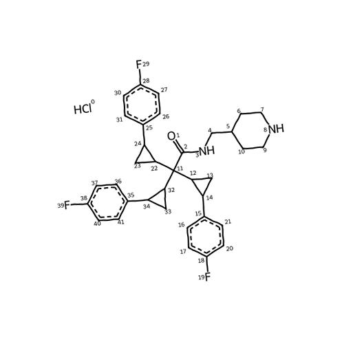 Cl.O=C(NCC1CCNCC1)C(C1CC1c1ccc(F)cc1)(C1CC1c1ccc(F)cc1)C1CC1c1ccc(F)cc1